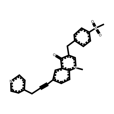 Cn1cc(Cc2ccc(S(C)(=O)=O)cc2)c(=O)c2cc(C#CCc3ccncc3)ccc21